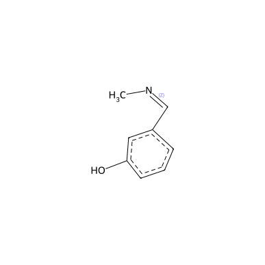 C/N=C\c1cccc(O)c1